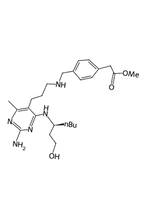 CCCC[C@@H](CCO)Nc1nc(N)nc(C)c1CCCNCc1ccc(CC(=O)OC)cc1